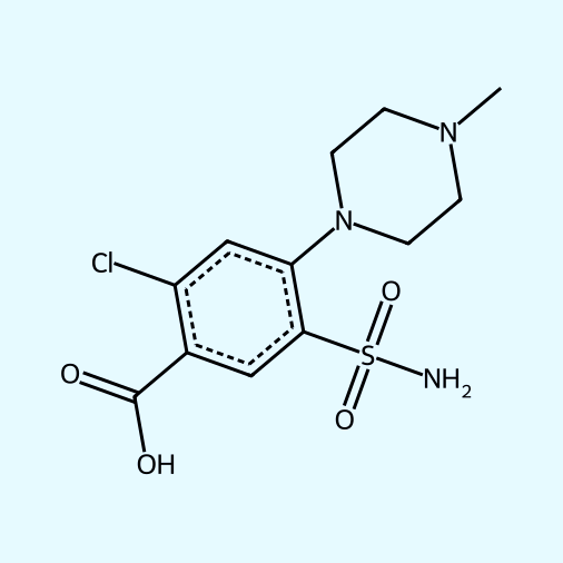 CN1CCN(c2cc(Cl)c(C(=O)O)cc2S(N)(=O)=O)CC1